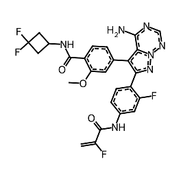 C=C(F)C(=O)Nc1ccc(-c2nn3ncnc(N)c3c2-c2ccc(C(=O)NC3CC(F)(F)C3)c(OC)c2)c(F)c1